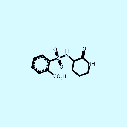 O=C(O)c1ccccc1S(=O)(=O)NC1CCCNC1=O